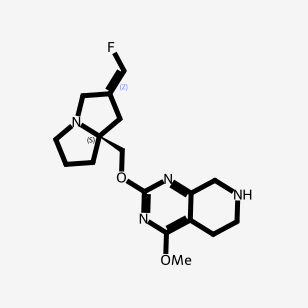 COc1nc(OC[C@@]23CCCN2C/C(=C\F)C3)nc2c1CCNC2